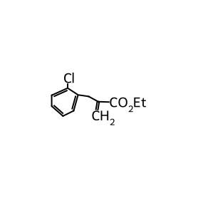 C=C(Cc1ccccc1Cl)C(=O)OCC